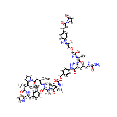 CC[C@H](C)[C@@H]([C@@H](CC(=O)N1CCC/C1=C(/OC)[C@@H](C)C(=O)N[C@@H](Cc1ccccc1)c1nccs1)OC)N(C)C(=O)[C@@H](NC(=O)C(C)(C)NC(=O)OCc1ccc(NC(=O)[C@H](CCCNC(N)=O)NC(=O)[C@@H](NC(=O)COCC(=O)Nc2ccc(CCC(=O)N3CCC3=O)cc2)C(C)C)cc1)C(C)C